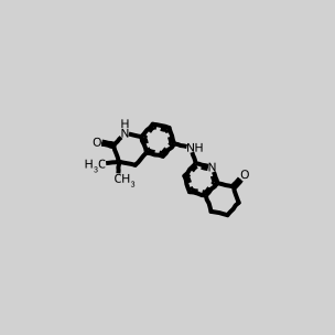 CC1(C)Cc2cc(Nc3ccc4c(n3)C(=O)CCC4)ccc2NC1=O